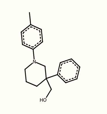 Cc1ccc(N2CCCC(CO)(c3ccccc3)C2)cc1